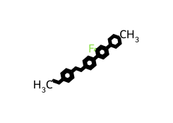 CCCc1ccc(CCc2ccc(-c3ccc(C4CCC(C)CC4)cc3F)cc2)cc1